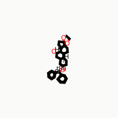 CC(C)(C)[Si](O[C@H]1CC[C@@]2(C)C(CC(=O)C3[C@@H]2CC[C@@]2(C)[C@H]3CCC23OCCO3)C1)(c1ccccc1)c1ccccc1